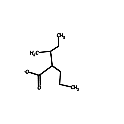 CCCC(C([O])=O)C(C)CC